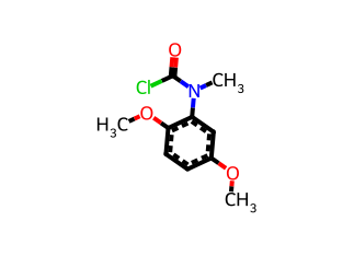 COc1ccc(OC)c(N(C)C(=O)Cl)c1